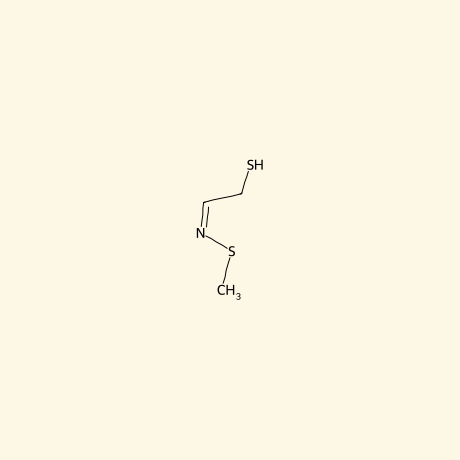 CS/N=C\CS